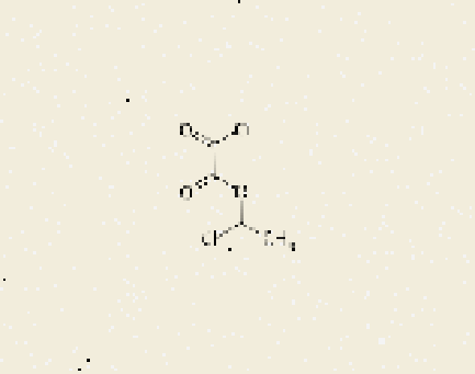 CC(Cl)OC(=O)C(=O)Cl